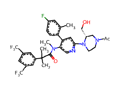 CC(=O)N1CCN(c2cc(-c3ccc(F)cc3C)c(N(C)C(=O)C(C)(C)c3cc(C(F)(F)F)cc(C(F)(F)F)c3)cn2)[C@H](CO)C1